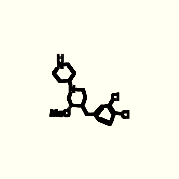 CO[C@@H]1CN(C2CCNCC2)CCC1Cc1ccc(Cl)c(Cl)c1